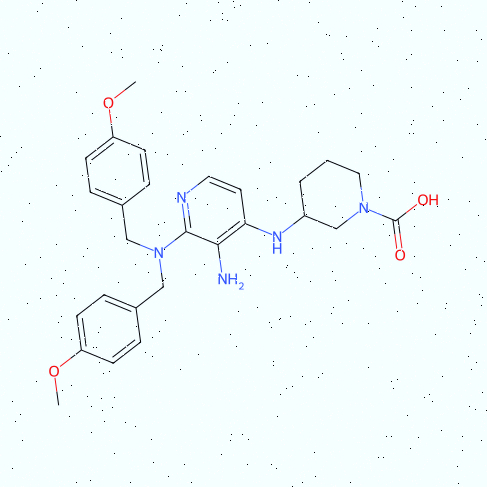 COc1ccc(CN(Cc2ccc(OC)cc2)c2nccc(NC3CCCN(C(=O)O)C3)c2N)cc1